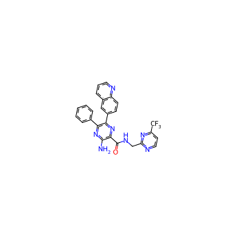 Nc1nc(-c2ccccc2)c(-c2ccc3ncccc3c2)nc1C(=O)NCc1nccc(C(F)(F)F)n1